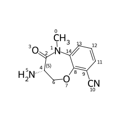 CN1C(=O)[C@@H](N)COc2c(C#N)cccc21